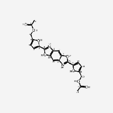 CC(=O)OCc1ccc(-c2nc3cc4oc(-c5ccc(COC(C)=O)o5)nc4cc3o2)o1